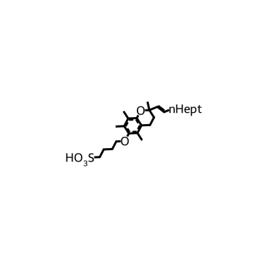 CCCCCCCC=CC1(C)CCc2c(C)c(OCCCCS(=O)(=O)O)c(C)c(C)c2O1